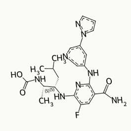 CC(C)C[C@H](Nc1nc(Nc2cncc(-n3cccn3)c2)c(C(N)=O)cc1F)[C@H](C)NC(=O)O